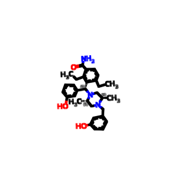 CCc1ccc(C(N)=O)c(CC)c1[C@@H](c1cccc(O)c1)N1C[C@@H](C)N(Cc2cccc(O)c2)C[C@@H]1C